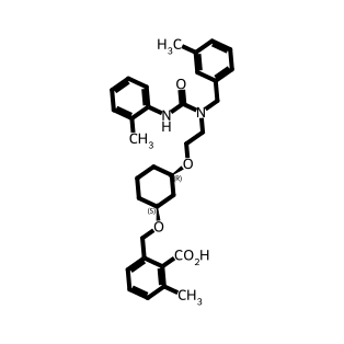 Cc1cccc(CN(CCO[C@@H]2CCC[C@H](OCc3cccc(C)c3C(=O)O)C2)C(=O)Nc2ccccc2C)c1